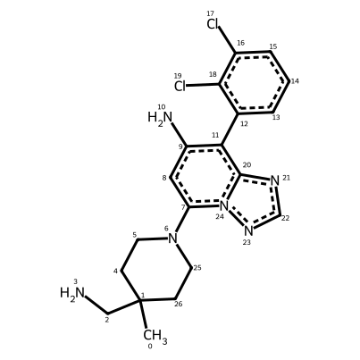 CC1(CN)CCN(c2cc(N)c(-c3cccc(Cl)c3Cl)c3ncnn23)CC1